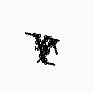 CCCCCCCCSCC(C)C(=O)OCCOC(=O)CCN(CCNCCN(CCC(=O)OCCOC(=O)C(C)CSCCCCCCCC)CCC(=O)OCCOC(=O)C(C)CSCCCCCCCC)CCNCCN(CCC(=O)OCCOC(=O)C(C)CSCCCCCCCC)CCC(=O)OCCOC(=O)C(C)CSCCCCCCCC